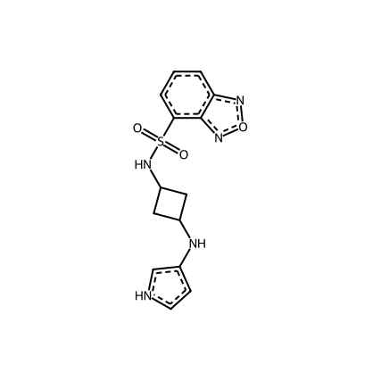 O=S(=O)(NC1CC(Nc2cc[nH]c2)C1)c1cccc2nonc12